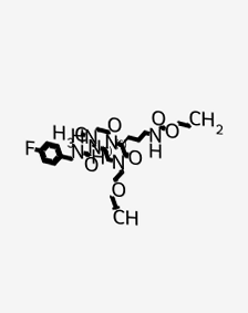 C#CCOCCN1C[C@H]2N(C(=O)CN(C)N2C(=O)NCc2ccc(F)cc2)[C@@H](CCCNC(=O)OCC=C)C1=O